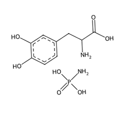 NC(Cc1ccc(O)c(O)c1)C(=O)O.NP(=O)(O)O